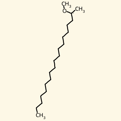 CCCCCCCCCCCCCCCCC[C](C)OC